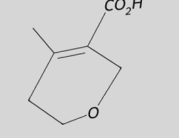 CC1=C(C(=O)O)COCC1